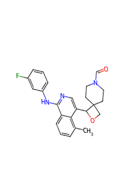 Cc1cccc2c(Nc3cccc(F)c3)ncc(C3OCC34CCN(C=O)CC4)c12